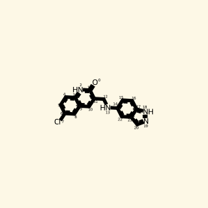 O=c1[nH]c2ccc(Cl)cc2cc1CNc1ccc2[nH]ncc2c1